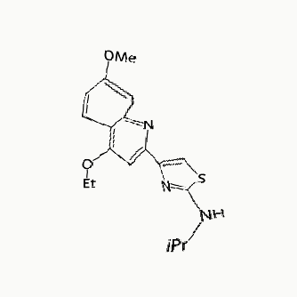 CCOc1cc(-c2csc(NC(C)C)n2)nc2cc(OC)ccc12